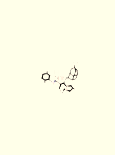 CCc1cc(O)c(F)cc1/N=C(\N)c1cnn2cc(Br)cc2c1NC1C2CC3CC1CC(O)(C3)C2